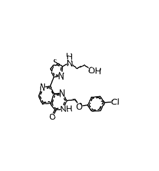 O=c1[nH]c(COc2ccc(Cl)cc2)nc2c(-c3csc(NCCO)n3)nccc12